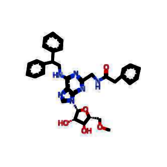 COC[C@H]1O[C@@H](n2cnc3c(NCC(c4ccccc4)c4ccccc4)nc(CNC(=O)Cc4ccccc4)nc32)[C@@H](O)[C@@H]1O